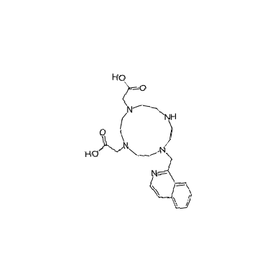 O=C(O)CN1CCNCCN(Cc2nccc3ccccc23)CCN(CC(=O)O)CC1